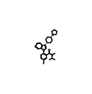 CC(C)N(C)C(=O)c1cc(F)ccc1-n1cc([C@H]2CC[C@@H](N3CCCC3)CC2)c2ccncc21